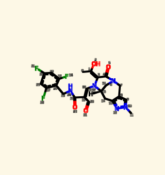 C/C(O)=C1/C(=O)N2Cc3cn(C)nc3C[C@@H](C2)N1/C=C(\C=O)C(=O)NCc1c(F)cc(F)cc1F